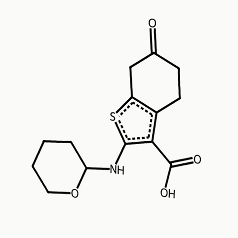 O=C1CCc2c(sc(NC3CCCCO3)c2C(=O)O)C1